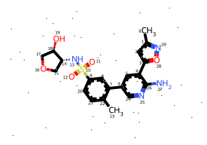 Cc1cc(-c2cc(-c3cc(S(=O)(=O)N[C@@H]4COC[C@H]4O)ccc3C)cnc2N)on1